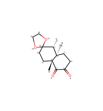 C[C@@H]1[C@H]2CCC(=O)C(=O)[C@]2(C)CCC12OCCO2